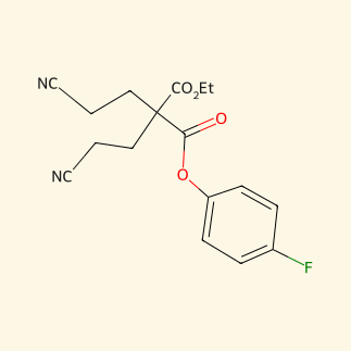 CCOC(=O)C(CCC#N)(CCC#N)C(=O)Oc1ccc(F)cc1